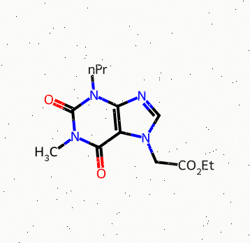 CCCn1c(=O)n(C)c(=O)c2c1ncn2CC(=O)OCC